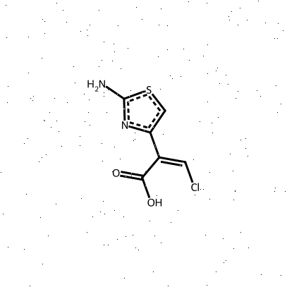 Nc1nc(C(=CCl)C(=O)O)cs1